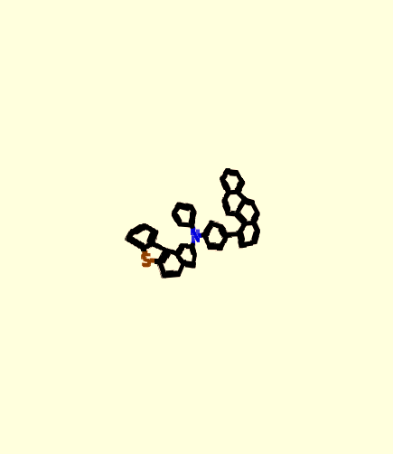 c1ccc(N(c2ccc(-c3cccc4ccc5c6ccccc6ccc5c34)cc2)c2ccc3ccc4sc5ccccc5c4c3c2)cc1